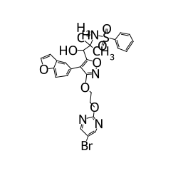 CC(C)(NS(=O)(=O)c1ccccc1)C(O)c1onc(OCCOc2ncc(Br)cn2)c1-c1ccc2occc2c1